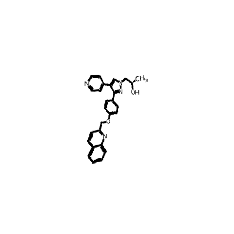 C[C@@H](O)Cn1cc(-c2ccncc2)c(-c2ccc(OCc3ccc4ccccc4n3)cc2)n1